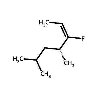 C/C=C(/F)[C@H](C)CC(C)C